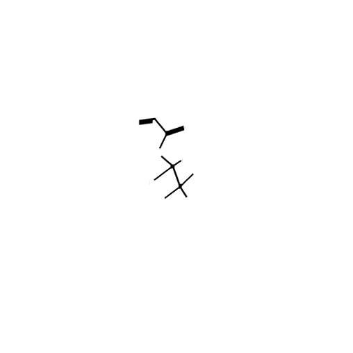 C=CC(=O)OC(F)(F)C(C)(C)F